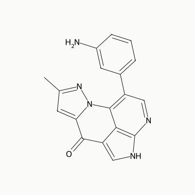 Cc1cc2c(=O)c3c[nH]c4ncc(-c5cccc(N)c5)c(c43)n2n1